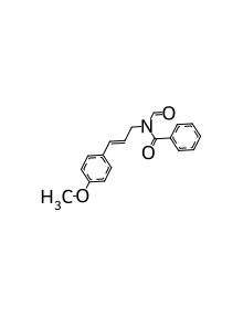 COc1ccc(/C=C/CN(C=O)C(=O)c2ccccc2)cc1